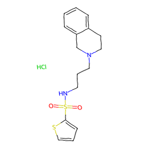 Cl.O=S(=O)(NCCCN1CCc2ccccc2C1)c1cccs1